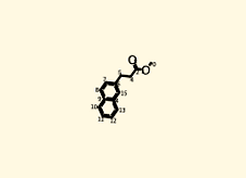 COC(=O)CCc1ccc2ccccc2c1